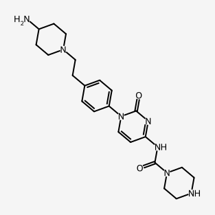 NC1CCN(CCc2ccc(-n3ccc(NC(=O)N4CCNCC4)nc3=O)cc2)CC1